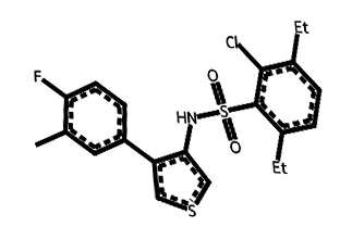 CCc1ccc(CC)c(S(=O)(=O)Nc2cscc2-c2ccc(F)c(C)c2)c1Cl